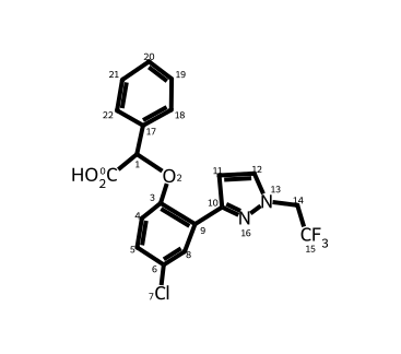 O=C(O)C(Oc1ccc(Cl)cc1-c1ccn(CC(F)(F)F)n1)c1ccccc1